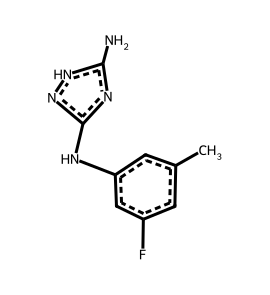 Cc1cc(F)cc(Nc2n[nH]c(N)n2)c1